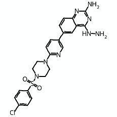 NNc1nc(N)nc2ccc(-c3ccc(N4CCN(S(=O)(=O)c5ccc(Cl)cc5)CC4)nc3)cc12